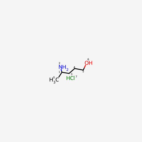 CC(N)CCCO.Cl